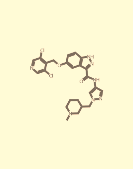 CN1CCCC(Cn2cc(NC(=O)c3n[nH]c4ccc(OCc5c(Cl)cncc5Cl)cc34)cn2)C1